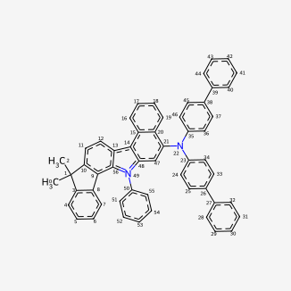 CC1(C)c2ccccc2-c2c1ccc1c3c4ccccc4c(N(c4ccc(-c5ccccc5)cc4)c4ccc(-c5ccccc5)cc4)cc3n(-c3ccccc3)c21